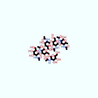 CC(=O)NC1[C@@H](OCC2O[C@H](O[C@H]3C(CO)O[C@H](O[C@H]4C(CO)O[C@H](O[C@H]5C(NC(C)=O)C(O)OC(C)[C@H]5NC(C)=O)C(NC(C)=O)[C@H]4O)C(NC(C)=O)[C@H]3O)C(NC(C)=O)[C@@H](O[C@@H]3OC(CO)[C@@H](O)C(O)[C@@H]3NC(C)=O)[C@@H]2O)OC(CO)[C@@H](O)[C@@H]1O